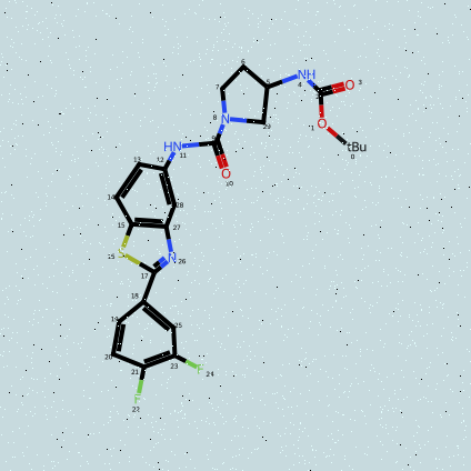 CC(C)(C)OC(=O)NC1CCN(C(=O)Nc2ccc3sc(-c4ccc(F)c(F)c4)nc3c2)C1